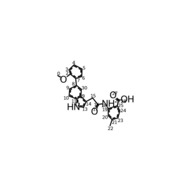 COc1ccccc1-c1ccc2[nH]cc(CC(=O)Nc3cc(C)ccc3C(=O)O)c2c1